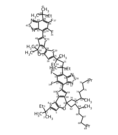 CCC(C)(C)c1cc2c(s1)-c1sc(-c3c(F)c(F)c(C(C)(CC)CC(C)(CC)c4cc5c(s4)-c4sc(-c6c(F)c(F)c(C(C)(C)CC)c7nsnc67)cc4C(C)(C)O5)c4nsnc34)cc1C(CCC(C)CCCC(C)C)(CCC(C)CCCC(C)C)O2